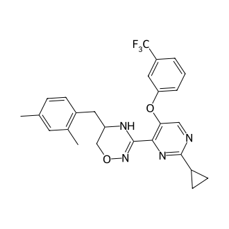 Cc1ccc(CC2CON=C(c3nc(C4CC4)ncc3Oc3cccc(C(F)(F)F)c3)N2)c(C)c1